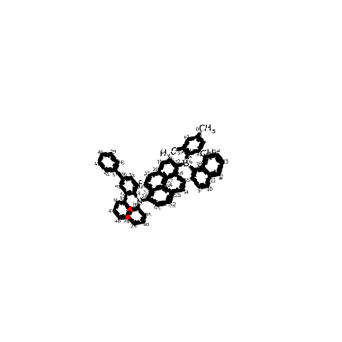 Cc1cc(C)c(B(c2cccc3ccccc23)c2ccc3ccc4c(N(c5ccccc5)c5c(F)cc(-c6ccccc6)cc5-c5ccccc5)ccc5ccc2c3c54)c(C)c1